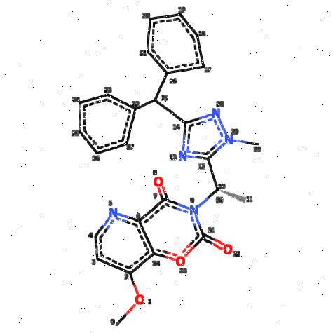 COc1ccnc2c(=O)n([C@@H](C)c3nc(C(c4ccccc4)c4ccccc4)nn3C)c(=O)oc12